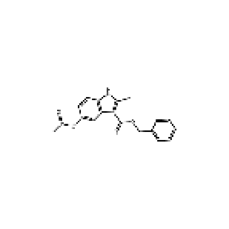 CC(=O)Oc1ccc2[nH]c(C)c(C(=O)OCc3ccccc3)c2c1